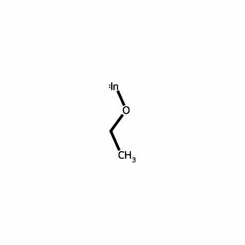 CC[O][In]